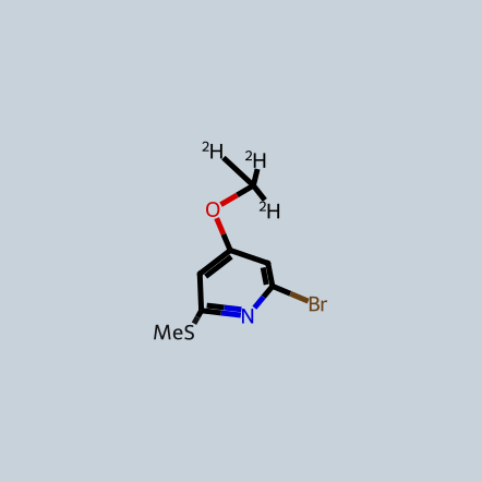 [2H]C([2H])([2H])Oc1cc(Br)nc(SC)c1